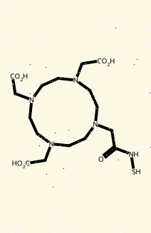 O=C(O)CN1CCN(CC(=O)O)CCN(CC(=O)NS)CCN(CC(=O)O)CC1